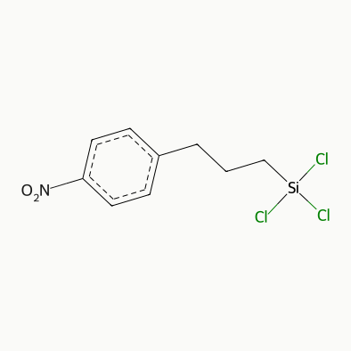 O=[N+]([O-])c1ccc(CCC[Si](Cl)(Cl)Cl)cc1